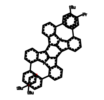 CC(C)c1ccc(-c2cccc3c4c5c6cccc(-c7ccc(C(C)(C)C)cc7)c6n6c7c(-c8ccc(C(C)(C)C)cc8)cccc7c(c7c8cccc(-c9ccc(C(C)(C)C)cc9)c8n(c23)c47)c56)cc1